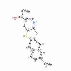 CO/N=C(/C)C(CCC(=O)OC)Sc1ccc2cc(OC)ccc2c1